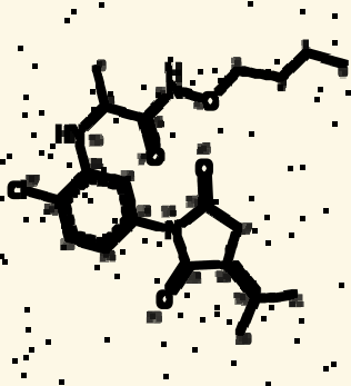 CCCCONC(=O)C(C)Nc1cc(N2C(=O)CC(=C(C)C)C2=O)ccc1Cl